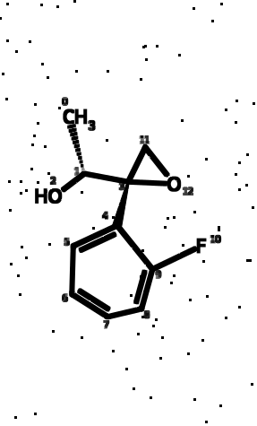 C[C@@H](O)[C@]1(c2ccccc2F)CO1